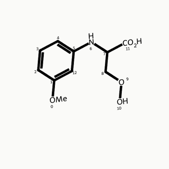 COc1cccc(NC(COO)C(=O)O)c1